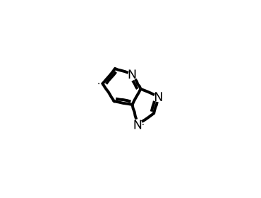 [c]1cnc2c(c1)[N]C=N2